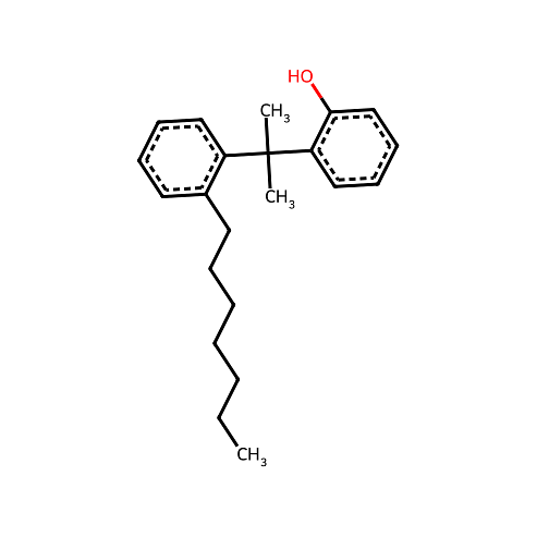 CCCCCCCc1ccccc1C(C)(C)c1ccccc1O